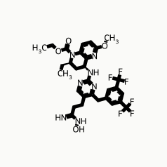 CCOC(=O)N1c2ccc(OC)nc2[C@@H](Nc2ncc(CCC(=N)NO)c(Cc3cc(C(F)(F)F)cc(C(F)(F)F)c3)n2)C[C@H]1CC